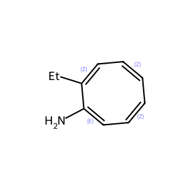 CCC1=C/C=C\C=C/C=C\1N